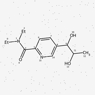 CCN(CC)C(=O)c1ccc(C(O)C(C)O)cn1